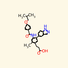 Cc1cc(NC(=O)c2ccc(OCC(C)C)cc2)c(-c2ccc3[nH]ncc3c2)cc1CCC(=O)O